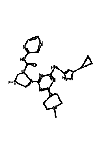 CN1CCN(c2nc(Nc3cc(C4CC4)n[nH]3)nc(N3C[C@H](F)C[C@H]3C(=O)Nc3cnccn3)n2)CC1